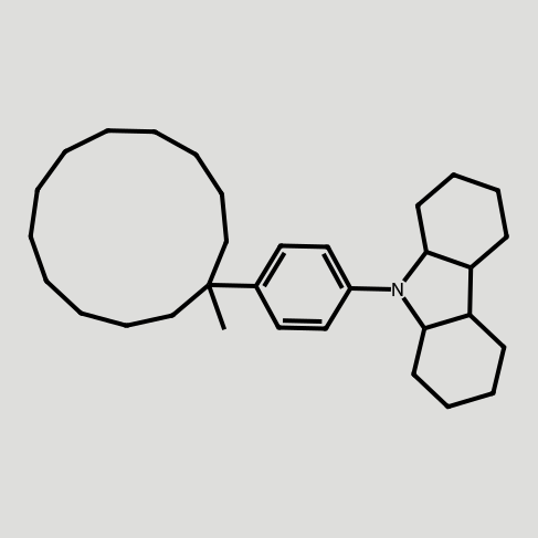 CC1(c2ccc(N3C4CCCCC4C4CCCCC43)cc2)CCCCCCCCCCCC1